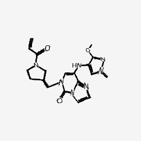 C=CC(=O)N1CCC(Cn2cc(Nc3cn(C)nc3OC)c3nccn3c2=O)C1